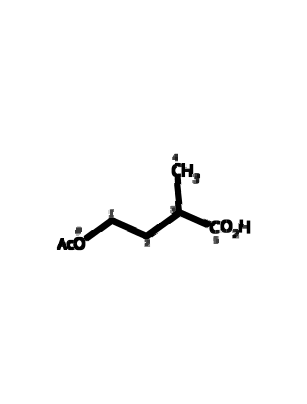 CC(=O)OCCC(C)C(=O)O